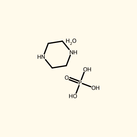 C1CNCCN1.O.O=P(O)(O)O